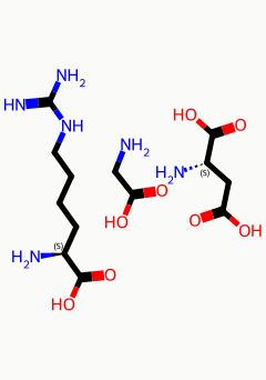 N=C(N)NCCCC[C@H](N)C(=O)O.NCC(=O)O.N[C@@H](CC(=O)O)C(=O)O